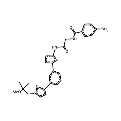 COC(C)(C)Cn1ccc(-c2cccc(-c3csc(NC(=O)CNC(=O)c4ccc(N)cc4)n3)c2)n1